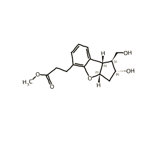 COC(=O)CCc1cccc2c1O[C@H]1C[C@@H](O)[C@H](CO)[C@@H]21